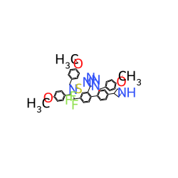 COc1ccc(CN(Cc2ccc(OC)cc2)Sc2c(C(F)(F)F)ccc(-c3ccc(C4CNC4)cc3)c2-c2nnnn2Cc2ccc(OC)cc2)cc1